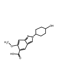 COc1cc2nn(C3CCC(O)CC3)cc2cc1C(=O)O